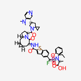 CCCN([C@@H](C)C(=O)O)[P@@](=O)(Oc1ccccc1)[C@@H](F)c1ccc2sc(C(=O)N[C@H]3C[C@@H]4C[C@@H]4C[C@H]4CC[C@@H](C(=O)N5C[C@H](c6cnccc6N(C)C)CC56CC6)N4C3=O)cc2c1